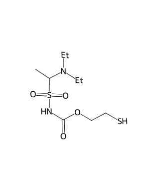 CCN(CC)C(C)S(=O)(=O)NC(=O)OCCS